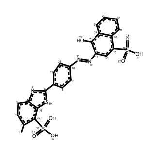 Cc1ccc2nc(-c3ccc(N=Nc4cc(S(=O)(=O)O)c5ccccc5c4O)cc3)sc2c1S(=O)(=O)O